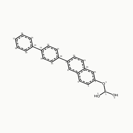 OB(O)Oc1ccc2cc(-c3ccc(-c4ccccc4)cc3)ccc2c1